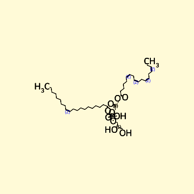 CC/C=C\C/C=C\C/C=C\C/C=C\CCCCC(=O)OC[C@H](COP(=O)(O)OC[C@@H](O)CO)OC(=O)CCCCCCCCC/C=C\CCCCCCCC